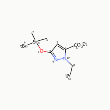 CCOC(=O)c1cc(O[Si](C)(C)C(C)(C)C)nn1CC(C)C